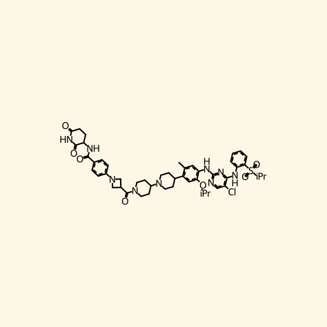 Cc1cc(Nc2ncc(Cl)c(Nc3ccccc3S(=O)(=O)C(C)C)n2)c(OC(C)C)cc1C1CCN(C2CCN(C(=O)C3CN(c4ccc(C(=O)NC5CCC(=O)NC5=O)cc4)C3)CC2)CC1